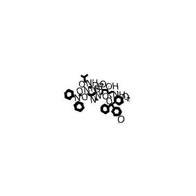 COc1ccc(C(OC[C@@]2(CN)O[C@@H](n3cnc4c(OC(=O)N(c5ccccc5)c5ccccc5)nc(NC(=O)C(C)C)nc43)[C@H](S(C)(=O)=O)[C@@H]2O)(c2ccccc2)c2ccc(OC)cc2)cc1